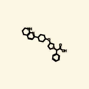 O=C(O)C(c1ccccc1)N1CCC(OC2CCC(c3ccc4c(n3)NCCC4)CC2)C1